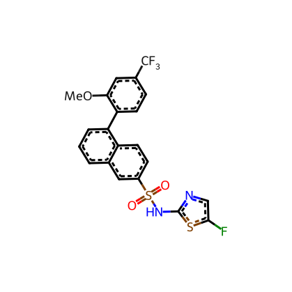 COc1cc(C(F)(F)F)ccc1-c1cccc2cc(S(=O)(=O)Nc3ncc(F)s3)ccc12